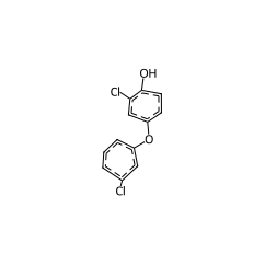 Oc1ccc(Oc2cccc(Cl)c2)cc1Cl